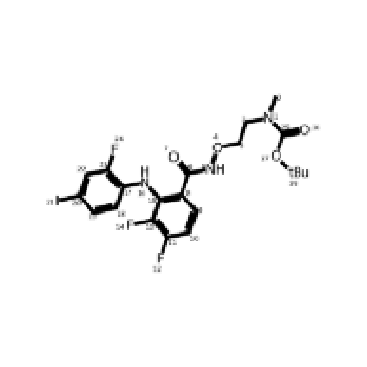 CN(CCONC(=O)c1ccc(F)c(F)c1Nc1ccc(I)cc1F)C(=O)OC(C)(C)C